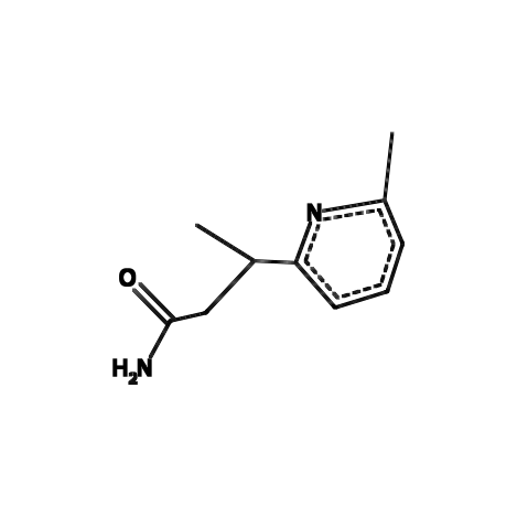 Cc1cccc(C(C)CC(N)=O)n1